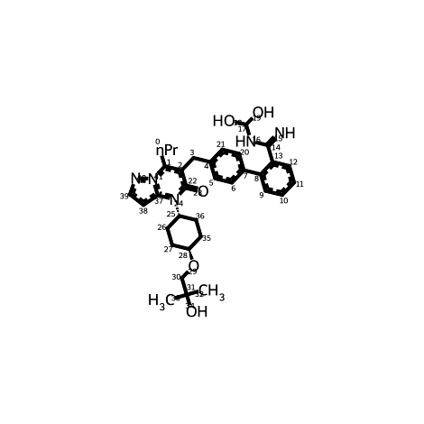 CCCc1c(Cc2ccc(-c3ccccc3C(=N)NC(O)O)cc2)c(=O)n([C@H]2CC[C@H](OCC(C)(C)O)CC2)c2ccnn12